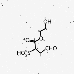 O=CCC(C(=O)OCCO)S(=O)(=O)O